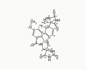 COc1ccc2c(c1)C(=O)N(C[C@@]1(C#Cc3ccc(C4(C)NC(=O)NC4=O)c(F)c3)NC(=O)NC1=O)C2